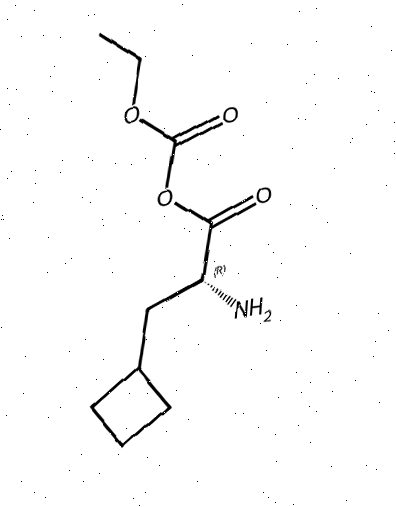 CCOC(=O)OC(=O)[C@H](N)CC1CCC1